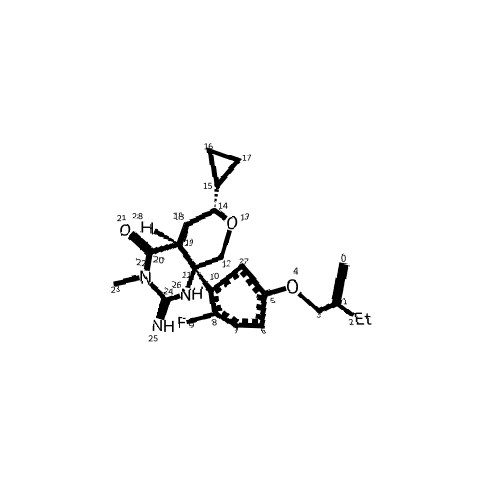 C=C(CC)COc1ccc(F)c([C@]23CO[C@@H](C4CC4)C[C@H]2C(=O)N(C)C(=N)N3)c1